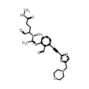 CNC(=O)CCC(C=O)N(C)/C(C)=N\c1cccc(C#Cc2ncc(CN3CCOCC3)s2)c1C=O